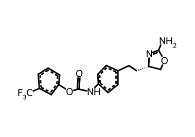 NC1=N[C@@H](CCc2ccc(NC(=O)Oc3cccc(C(F)(F)F)c3)cc2)CO1